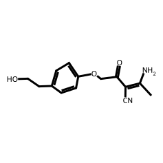 C/C(N)=C(\C#N)C(=O)COc1ccc(CCO)cc1